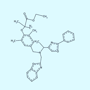 CCOC(=O)C(C)(C)Oc1c(C)cc(CN(Cc2nc3ccccc3o2)C(C)c2coc(-c3ccccc3)n2)cc1C